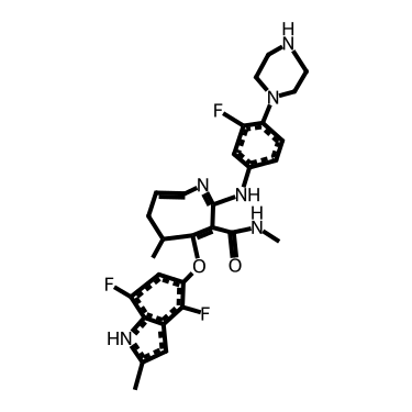 CNC(=O)C1=C(\Oc2cc(F)c3[nH]c(C)cc3c2F)C(C)C/C=C/N=C\1Nc1ccc(N2CCNCC2)c(F)c1